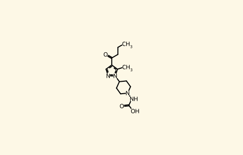 CCCC(=O)c1cnn(C2CCN(NC(=O)O)CC2)c1C